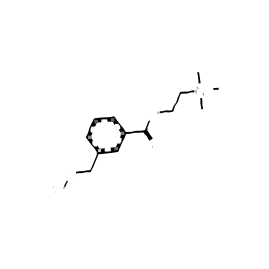 CC(=O)SCc1cccc(C(=O)OCC[N+](C)(C)C)c1